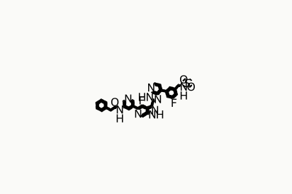 CS(=O)(=O)NCc1cc(F)cc(-c2ccnc3[nH]c(-c4n[nH]c5cnc(-c6cncc(NC(=O)Cc7ccccc7)c6)c(F)c45)nc23)c1